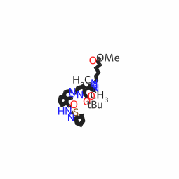 COC(=O)CCCCCn1nc(C)c(-c2ccc(N3CCc4cccc(C(=O)Nc5nc6ccccc6s5)c4C3)nc2C(=O)OC(C)(C)C)c1C